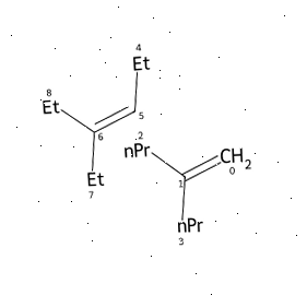 C=C(CCC)CCC.CCC=C(CC)CC